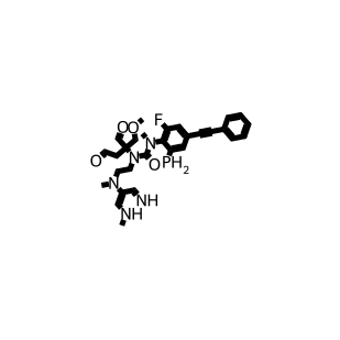 CN/C=C(\C=N)N(C)CCN(C(=O)N(C)c1c(F)cc(C#Cc2ccccc2)cc1P)C(C=O)(CC=O)COC